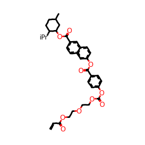 C=CC(=O)OCCOCCOC(=O)Oc1ccc(C(=O)Oc2ccc3cc(C(=O)OC4CC(C)CCC4C(C)C)ccc3c2)cc1